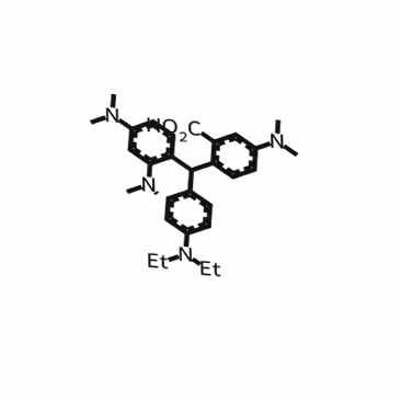 CCN(CC)c1ccc(C(c2ccc(N(C)C)cc2C(=O)O)c2ccc(N(C)C)cc2N(C)C)cc1